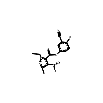 CCn1nc(C)c([N+](=O)[O-])c1C(=O)Oc1ccc(F)c(C#N)c1